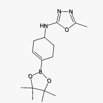 Cc1nnc(NC2CC=C(B3OC(C)(C)C(C)(C)O3)CC2)o1